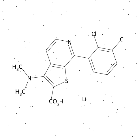 CN(C)c1c(C(=O)O)sc2c(-c3cccc(Cl)c3Cl)nccc12.[Li]